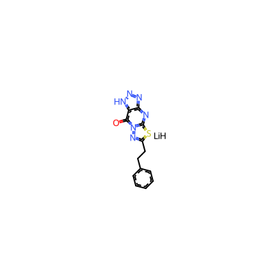 O=c1c2[nH]nnc2nc2sc(CCc3ccccc3)nn12.[LiH]